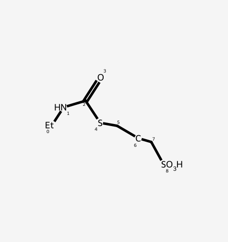 CCNC(=O)SCCCS(=O)(=O)O